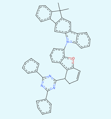 CC1(C)c2ccccc2-c2cc3c(cc21)c1ccccc1n3-c1cccc2c3c(oc12)C=CCC3c1nc(-c2ccccc2)nc(-c2ccccc2)n1